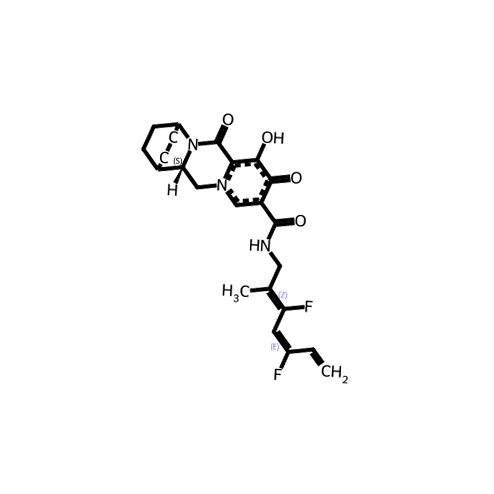 C=C/C(F)=C\C(F)=C(/C)CNC(=O)c1cn2c(c(O)c1=O)C(=O)N1C3CCC(CC3)[C@H]1C2